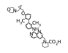 Cc1c(Nc2nccc3cc(CN4CCCCC4C(=O)O)cnc23)cccc1-c1cccc(OCC2(CN3CCOCC3)CC2)c1C